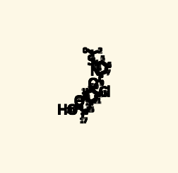 CC(C)Sc1cccc(COc2ccc(CC(C)C(=O)O)cc2Cl)n1